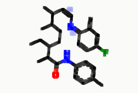 C=C1C=C(F)C=C/C1=N/C=C\C(C)C(C)CCC(CC)C(C)C(=O)Nc1ccc(C)cc1